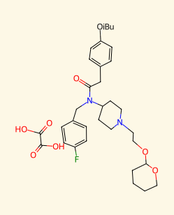 CC(C)COc1ccc(CC(=O)N(Cc2ccc(F)cc2)C2CCN(CCOC3CCCCO3)CC2)cc1.O=C(O)C(=O)O